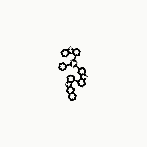 c1ccc(-c2nc(-c3ccc4oc5cccc(-c6cccc7sc8cc9ccccc9cc8c67)c5c4c3)nc(-c3cccc4oc5ccccc5c34)n2)cc1